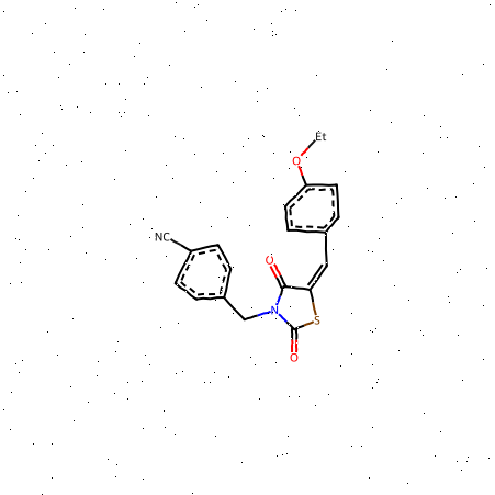 CCOc1ccc(C=C2SC(=O)N(Cc3ccc(C#N)cc3)C2=O)cc1